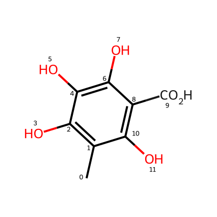 Cc1c(O)c(O)c(O)c(C(=O)O)c1O